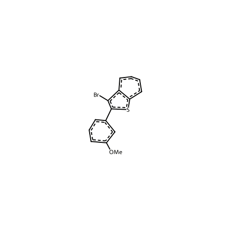 COc1cccc(-c2sc3ccccc3c2Br)c1